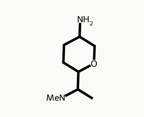 CNC(C)C1CCC(N)CO1